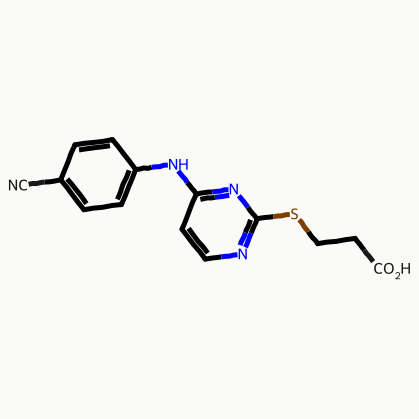 N#Cc1ccc(Nc2ccnc(SCCC(=O)O)n2)cc1